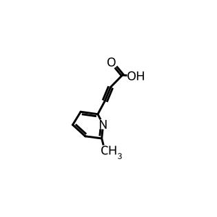 Cc1cccc(C#CC(=O)O)n1